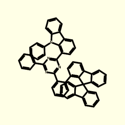 c1ccc(-c2nc(-c3ccccc3-c3cccc4c3C3(c5ccccc5-c5ccccc53)c3ccccc3-4)nc(-c3cccc4c5ccccc5n(-c5ccccc5)c34)n2)cc1